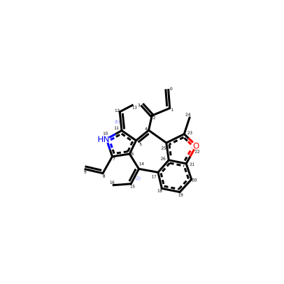 C=CC(=C)C1=c2c(c(C=C)[nH]/c2=C/C)/C(=C\C)c2cccc3oc(C)c1c23